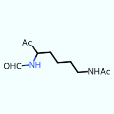 CC(=O)NCCCCC(NC=O)C(C)=O